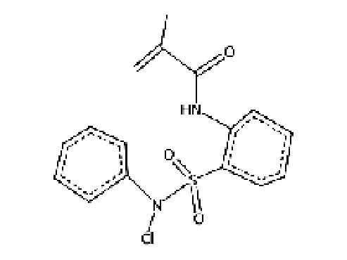 C=C(C)C(=O)Nc1ccccc1S(=O)(=O)N(Cl)c1ccccc1